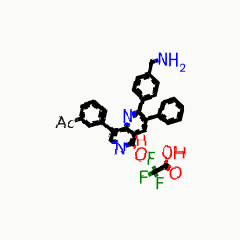 CC(=O)c1cccc(-c2cnc(O)c3cc(-c4ccccc4)c(-c4ccc(CN)cc4)nc23)c1.O=C(O)C(F)(F)F